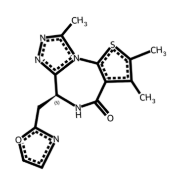 Cc1sc2c(c1C)C(=O)N[C@@H](Cc1ncco1)c1nnc(C)n1-2